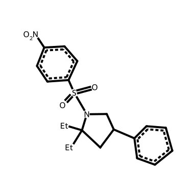 CCC1(CC)CC(c2ccccc2)CN1S(=O)(=O)c1ccc([N+](=O)[O-])cc1